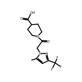 Cc1cc(C(F)(F)F)nn1CC(=O)N1CCC(C(=O)O)CC1